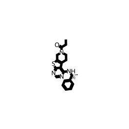 CCC(=O)N1CCc2c(sc3ncnc(N[C@H](C)c4ccccc4)c23)C1